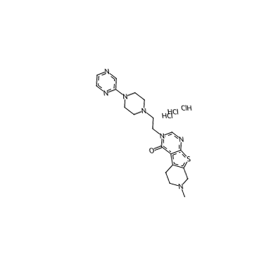 CN1CCc2c(sc3ncn(CCN4CCN(c5cnccn5)CC4)c(=O)c23)C1.Cl.Cl.Cl